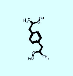 CC(Cc1ccc(CC(C)OO)cc1)OO